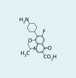 CC1COc2c(C3CCC(N)CC3)c(F)cc3c(=O)c(C(=O)O)cn1c23